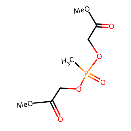 COC(=O)COP(C)(=O)OCC(=O)OC